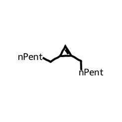 CCCCCCC1=CC1CCCCCC